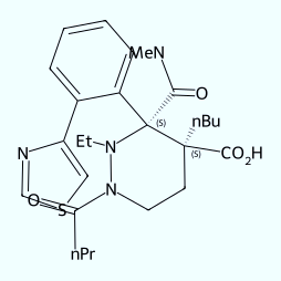 CCCC[C@]1(C(=O)O)CCN(C(=O)CCC)N(CC)[C@@]1(C(=O)NC)c1ccccc1-c1cscn1